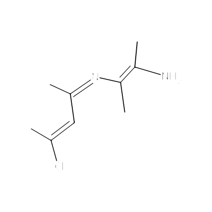 CC(/C=C(\C)Cl)=N/C(C)=C(\C)N